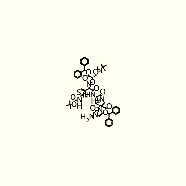 CC(C)(C)OC(=O)Nc1nc(/C(=N/O[C@H](CO[Si](C)(C)C(C)(C)C)C(=O)OC(c2ccccc2)c2ccccc2)C(=O)N[C@@H]2C(=O)N3C[C@@](C(=O)OC(c4ccccc4)c4ccccc4)(N4CCN(N)C4=O)S[C@H]23)cs1